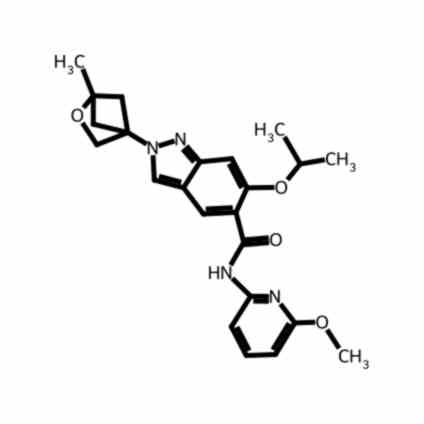 COc1cccc(NC(=O)c2cc3cn(C45COC(C)(C4)C5)nc3cc2OC(C)C)n1